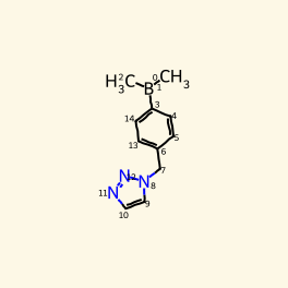 CB(C)c1ccc(Cn2ccnn2)cc1